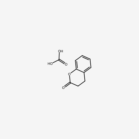 O=C(O)O.O=C1CCc2ccccc2O1